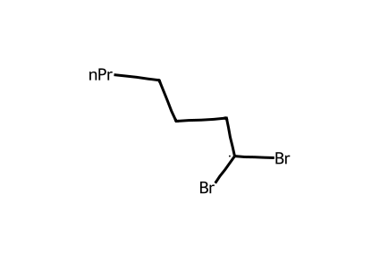 CCCCCC[C](Br)Br